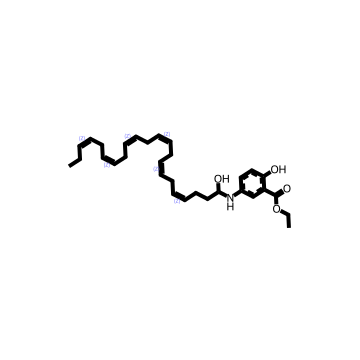 CC/C=C\C/C=C\C/C=C\C/C=C\C/C=C\C/C=C\CCC(O)Nc1ccc(O)c(C(=O)OCC)c1